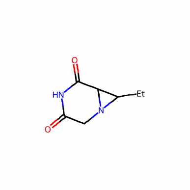 CCC1C2C(=O)NC(=O)CN12